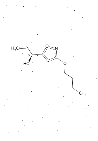 C=C[C@H](O)c1cc(OCCCC)no1